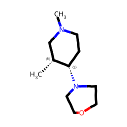 C[C@@H]1CN(C)CC[C@@H]1N1CCOCC1